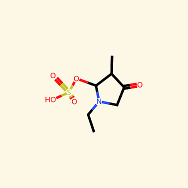 CCN1CC(=O)C(C)C1OS(=O)(=O)O